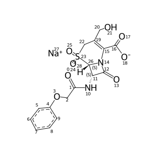 O=C(COc1ccccc1)N[C@H]1C(=O)N2C(C(=O)[O-])=C(CO)CS(=O)(=O)[C@@H]12.[Na+]